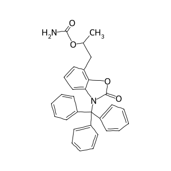 CC(Cc1cccc2c1oc(=O)n2C(c1ccccc1)(c1ccccc1)c1ccccc1)OC(N)=O